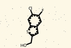 OCc1cc2cc(F)c(Cl)cc2s1